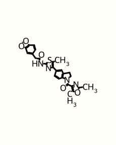 Cc1nc(C(=O)N2CCc3cc(-c4nc(NC(=O)Cc5ccc6c(c5)OCO6)sc4C)ccc32)c(C)o1